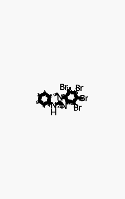 Cn1c(Nc2ccccc2)nc2c(Br)c(Br)c(Br)c(Br)c21